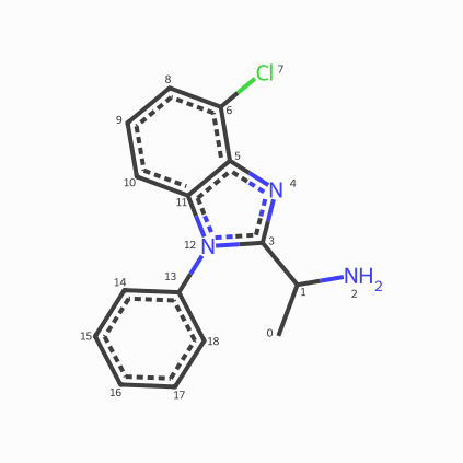 CC(N)c1nc2c(Cl)cccc2n1-c1ccccc1